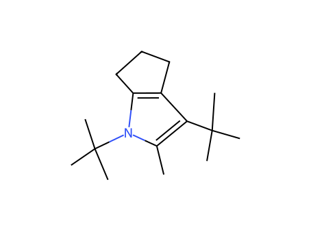 Cc1c(C(C)(C)C)c2c(n1C(C)(C)C)CCC2